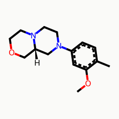 COc1cc(N2CCN3CCOC[C@H]3C2)ccc1C